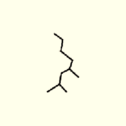 CC[CH]CC(C)CC(C)C